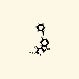 COC(=O)C(=O)c1c[nH]c2ccc(OCc3ccccc3)cc12